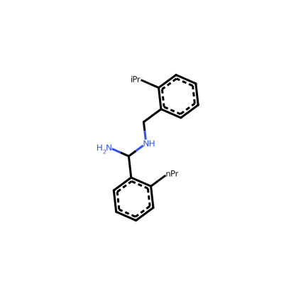 CCCc1ccccc1C(N)NCc1ccccc1C(C)C